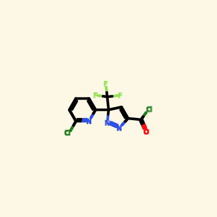 O=C(Cl)C1=CC(c2cccc(Cl)n2)(C(F)(F)F)N=N1